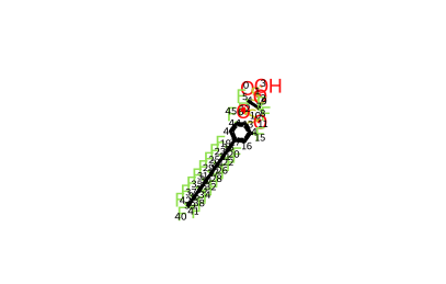 O=S(=O)(O)C(F)(F)C(F)(F)S(=O)(=O)c1c(F)cc(C(F)(F)C(F)(F)C(F)(F)C(F)(F)C(F)(F)C(F)(F)C(F)(F)C(F)(F)F)cc1F